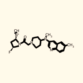 C#[N+][C@@H]1C[C@H](F)CN1C(=O)CN1CCC(N(C)c2cnc3ccc(C)cc3c2)CC1